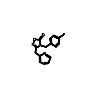 O=c1onc(Cc2ccccn2)n1Cc1ccc(F)cc1